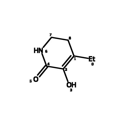 [CH2]CC1=C(O)C(=O)NCC1